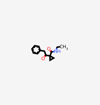 CCNC(=O)C1(C(=O)Cc2ccccc2)CC1